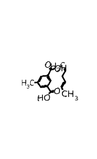 C=CCC=CC.Cc1cc(C(=O)O)cc(C(=O)O)c1